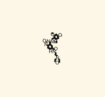 COc1cc(OC)c(CNc2nc(OC)nc3ccc(C(=O)NCCCN4CCOCC4)cc23)c(OC)c1